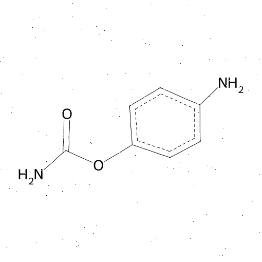 NC(=O)Oc1ccc(N)cc1